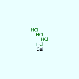 Cl.Cl.Cl.Cl.[Ge]